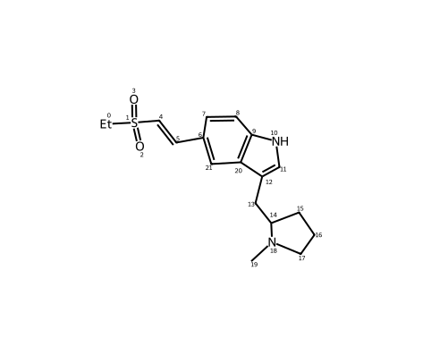 CCS(=O)(=O)C=Cc1ccc2[nH]cc(CC3CCCN3C)c2c1